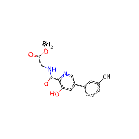 BOC(=O)CNC(=O)c1ncc(-c2cccc(C#N)c2)cc1O